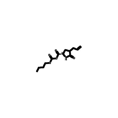 C=CCC1C[C@@H](C(=O)OC(=O)OCCCC)NC1=O